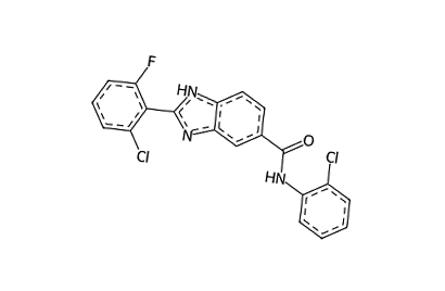 O=C(Nc1ccccc1Cl)c1ccc2[nH]c(-c3c(F)cccc3Cl)nc2c1